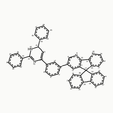 C1=C(c2cccc(-c3cnc4c(c3)C3(c5ccccc5-c5ccccc53)c3cccnc3-4)c2)N=C(c2ccccc2)NC1c1ccccc1